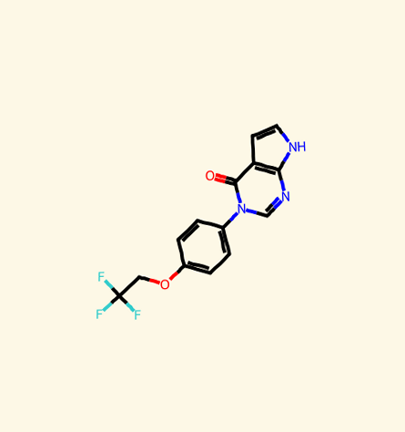 O=c1c2cc[nH]c2ncn1-c1ccc(OCC(F)(F)F)cc1